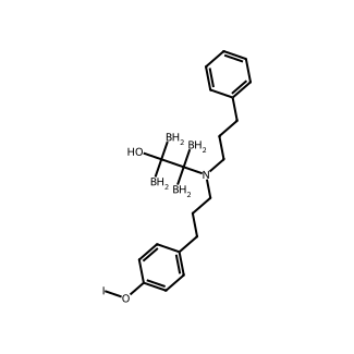 BC(B)(O)C(B)(B)N(CCCc1ccccc1)CCCc1ccc(OI)cc1